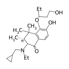 CCC(CCO)Oc1c(O)ccc2c1C(C)(C)[C@@H](C)C(N(CC)CC1CC1)C2=O